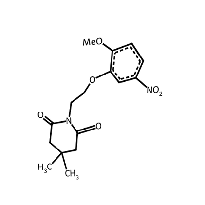 COc1ccc([N+](=O)[O-])cc1OCCN1C(=O)CC(C)(C)CC1=O